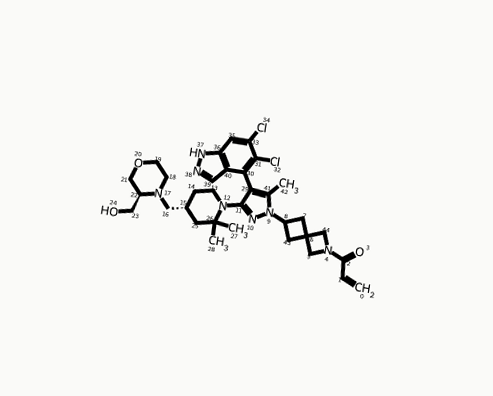 C=CC(=O)N1CC2(CC(n3nc(N4CC[C@@H](CN5CCOC[C@@H]5CO)CC4(C)C)c(-c4c(Cl)c(Cl)cc5[nH]ncc45)c3C)C2)C1